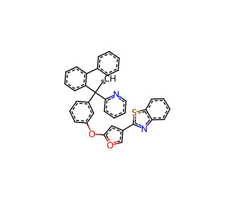 C#CC(c1cccc(Oc2cc(-c3nc4ccccc4s3)co2)c1)(c1ccccn1)c1ccccc1-c1ccccc1